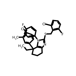 CCC1(c2ccc(Cl)c(C)c2)CCCc2nc(SCc3c(F)cccc3Cl)n(-c3ccc(F)cc3)c21